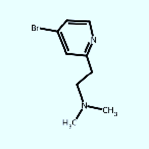 CN(C)CCc1cc(Br)ccn1